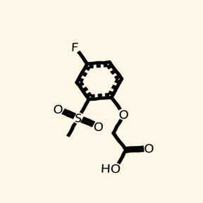 CS(=O)(=O)c1cc(F)ccc1OCC(=O)O